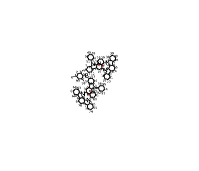 Cc1cc(C)c(B(c2ccc3c(c2)c2cc(-n4c5ccccc5c5ccc6c7ccccc7n(-c7ccccc7)c6c54)ccc2n3-c2ccccc2)c2ccc3c(c2)c2cc(-n4c5ccccc5c5ccc6c7ccccc7n(-c7ccccc7)c6c54)ccc2n3-c2ccccc2)c(C)c1